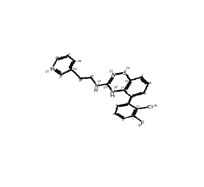 Fc1cccc(-c2cccc3c2NC(NCCc2cccnc2)=NS3)c1Cl